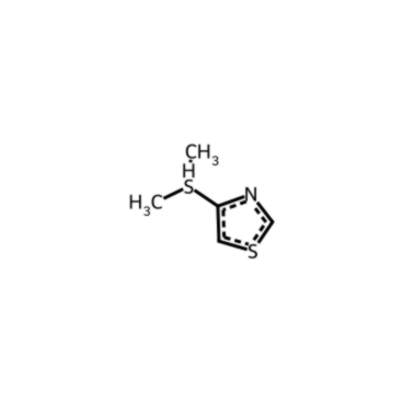 C[SH](C)c1cscn1